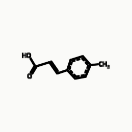 Cc1ccc(C=CC(=O)O)cc1